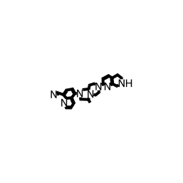 CC1CN(c2ccc(C#N)c3ncccc23)CC2CCN(c3ccc4c(n3)CNCC4)CCN12